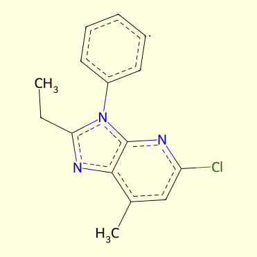 CCc1nc2c(C)cc(Cl)nc2n1-c1c[c]ccc1